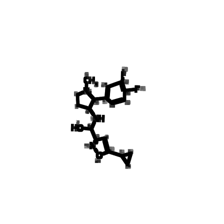 CN1CCC(NC(O)c2cc(C3CC3)on2)C1c1ccc(F)c(F)c1